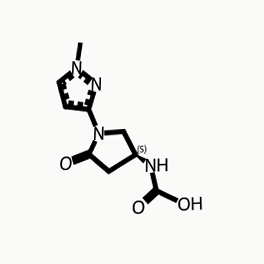 Cn1ccc(N2C[C@@H](NC(=O)O)CC2=O)n1